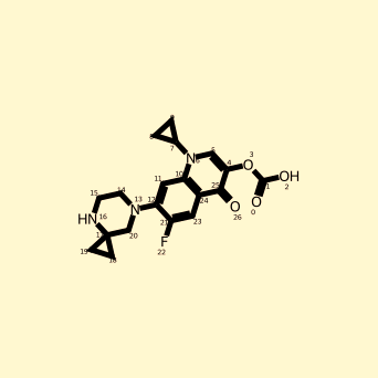 O=C(O)Oc1cn(C2CC2)c2cc(N3CCNC4(CC4)C3)c(F)cc2c1=O